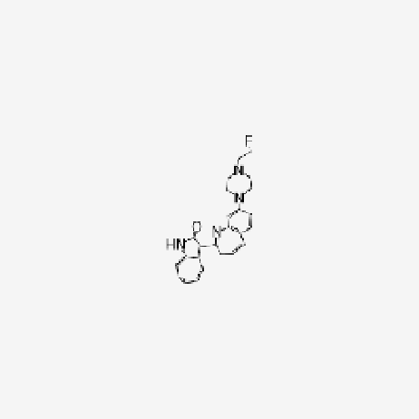 O=c1[nH]c2cccccc-2c1C1=Nc2cc(N3CCN(CCF)CC3)ccc2C=CC1